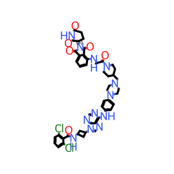 O=C1CC[C@H](N2C(=O)c3cccc(NCC(=O)N4CCC(CN5CCN(c6ccc(Nc7ncnc8c7ncn8C7CC(NC(=O)c8c(Cl)cccc8Cl)C7)cc6)CC5)CC4)c3C2=O)C(=O)N1